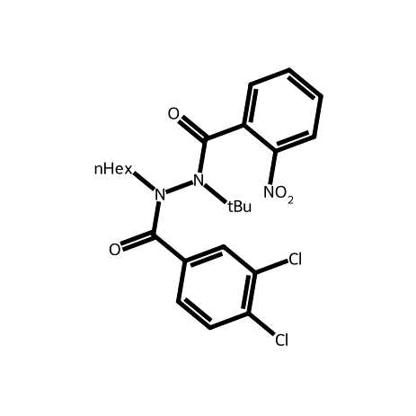 CCCCCCN(C(=O)c1ccc(Cl)c(Cl)c1)N(C(=O)c1ccccc1[N+](=O)[O-])C(C)(C)C